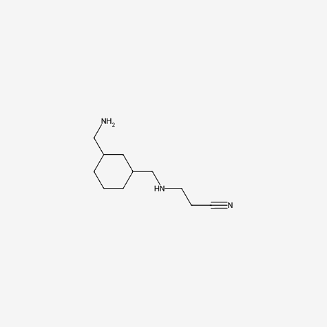 N#CCCNCC1CCCC(CN)C1